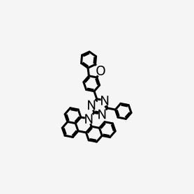 c1ccc(-c2nc(-c3ccc4c(c3)oc3ccccc34)nc(N3c4c(ccc5ccccc45)-c4cccc5cccc3c45)n2)cc1